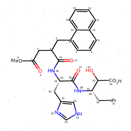 COC(=O)CC(Cc1cccc2ccccc12)C(=O)N[C@@H](Cc1c[nH]cn1)C(=O)N[C@@H](CC(C)C)C(O)C(=O)O